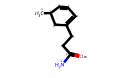 CC1C=CC=C(CCC(N)=O)C1